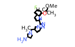 COCC(C)(C)Oc1cc(F)cc2ccc(-c3nnc4ccc([C@H](C)N5CC[C@H](N)C5)cn34)nc12